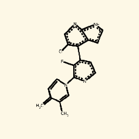 C=C1C=CN(c2nccc(-c3c(Cl)cnc4[nH]ccc34)c2F)C=C1C